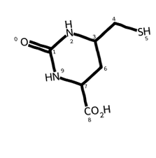 O=C1NC(CS)CC(C(=O)O)N1